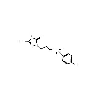 Cc1ccc(S(=O)(=O)OCCCn2nc(C)n(C)c2=O)cc1